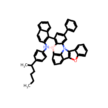 CCCCC(C)c1ccc(Nc2ccc3ccccc3c2-c2cc(-c3ccccc3)cc3c2Bc2cccc4c5oc6ccccc6c5n-3c24)cc1